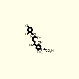 Cc1cc(C(=N)CCc2nc(C3=CCC(Cl)C=C3Cl)oc2C(C)C)c(O)cc1OCC(=O)O